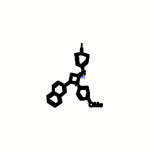 COc1ccc(N2/C(=N/C3=CCC(I)C=C3)CC2c2ccc3ccccc3c2)cc1